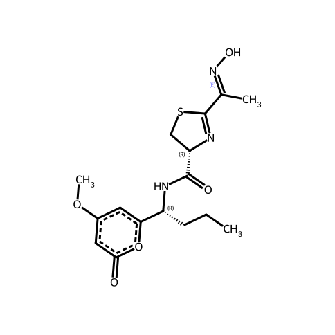 CCC[C@@H](NC(=O)[C@@H]1CSC(/C(C)=N/O)=N1)c1cc(OC)cc(=O)o1